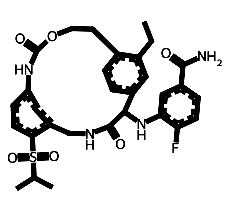 CCc1cc2ccc1CCOC(=O)Nc1ccc(S(=O)(=O)C(C)C)c(c1)CNC(=O)C2Nc1cc(C(N)=O)ccc1F